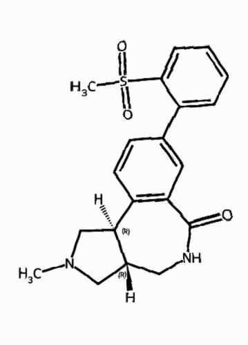 CN1C[C@H]2CNC(=O)c3cc(-c4ccccc4S(C)(=O)=O)ccc3[C@@H]2C1